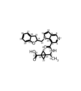 CC(NC(=O)c1cncc2ccn(CC3Cc4ccccc4O3)c12)C12CC1(C(=O)O)C2